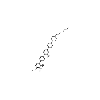 CCCCCCCC1CCC(C2CC=C(c3ccc(-c4ccc(-c5ccc(CCC)c(F)c5F)cc4)c(F)c3)CC2)CC1